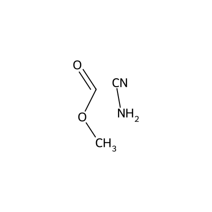 COC=O.N#CN